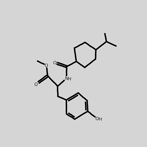 COC(=O)C(Cc1ccc(O)cc1)NC(=O)C1CCC(C(C)C)CC1